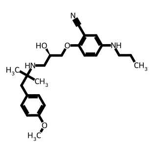 CCCNc1ccc(OC[C@H](O)CNC(C)(C)Cc2ccc(OC)cc2)c(C#N)c1